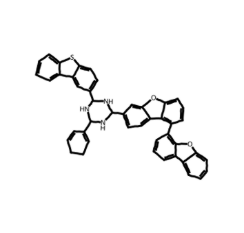 C1=CC(C2NC(c3ccc4c(c3)oc3cccc(-c5cccc6c5oc5ccccc56)c34)NC(c3ccc4sc5ccccc5c4c3)N2)=CCC1